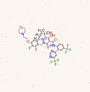 CN1[C@@H](C(C)(C)C)C(O)=C(C(=O)Nc2ccc(C(F)(F)F)cc2-c2cc(C(F)(F)F)ncn2)C(=O)N1Cc1ccc(OCCN2CCOCC2)c(F)c1F